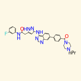 CCCN1CCN(C(=O)c2ccc(-c3ccc4c(Nc5cc(CC(=O)Nc6cccc(F)c6)[nH]n5)ncnc4c3)cc2)CC1